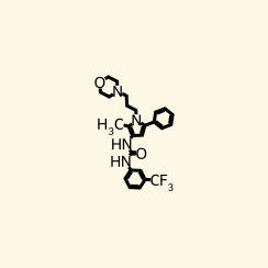 Cc1c(NC(=O)Nc2cccc(C(F)(F)F)c2)cc(-c2ccccc2)n1CCCN1CCOCC1